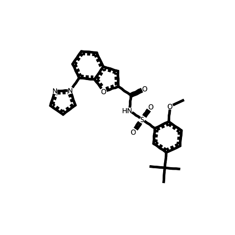 COc1ccc(C(C)(C)C)cc1S(=O)(=O)NC(=O)c1cc2cccc(-n3cccn3)c2o1